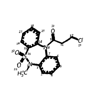 CN1c2ccccc2N(C(=O)CCCl)c2ccccc2S1(=O)=O